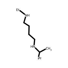 CCNCCCCNC(C)C(C)C